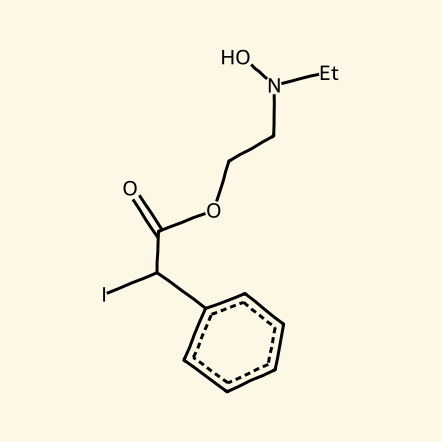 CCN(O)CCOC(=O)C(I)c1ccccc1